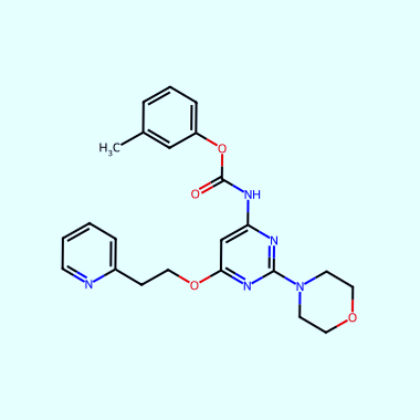 Cc1cccc(OC(=O)Nc2cc(OCCc3ccccn3)nc(N3CCOCC3)n2)c1